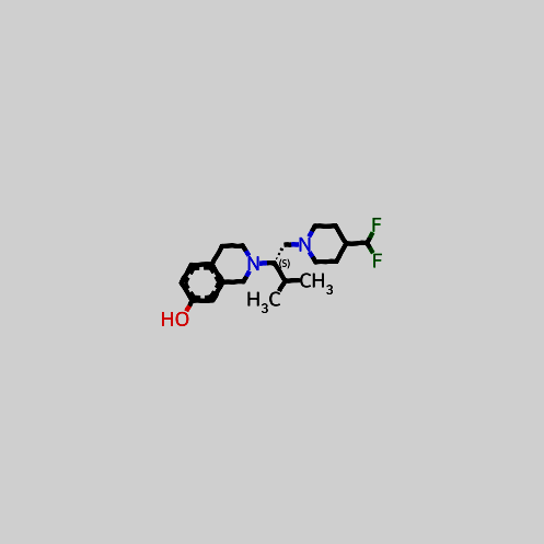 CC(C)[C@@H](CN1CCC(C(F)F)CC1)N1CCc2ccc(O)cc2C1